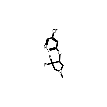 CN1CC(Oc2cc(C(F)(F)F)cnn2)C(F)(F)C1